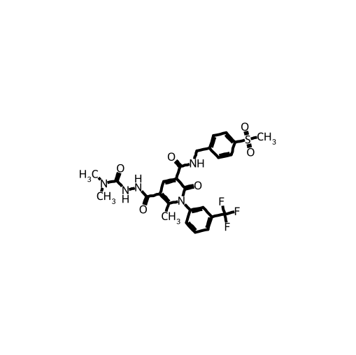 Cc1c(C(=O)NNC(=O)N(C)C)cc(C(=O)NCc2ccc(S(C)(=O)=O)cc2)c(=O)n1-c1cccc(C(F)(F)F)c1